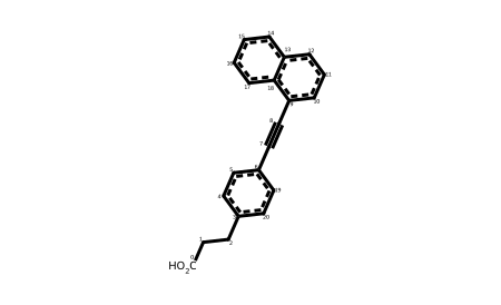 O=C(O)CCc1ccc(C#Cc2cccc3ccccc23)cc1